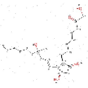 CCCCCCC(C)(O)CC=C[C@H]1[C@H](O)CC(=O)[C@@H]1CCCCCCC(=O)CO